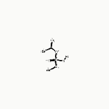 CCOP(=O)(OC(C#N)C(C)(C)C)SC(C)CC